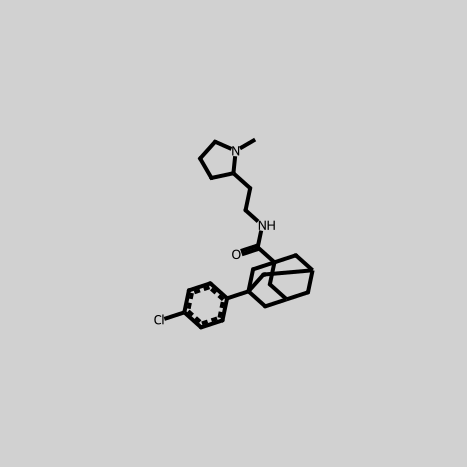 CN1CCCC1CCNC(=O)C12CC3CC(C1)CC(c1ccc(Cl)cc1)(C3)C2